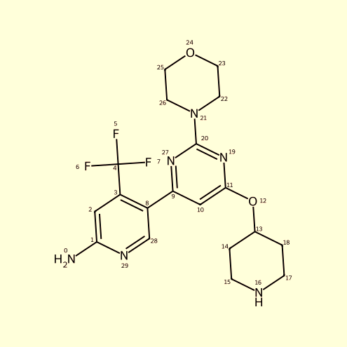 Nc1cc(C(F)(F)F)c(-c2cc(OC3CCNCC3)nc(N3CCOCC3)n2)cn1